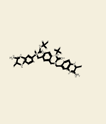 CC1Oc2ccc(CN(Cc3cccc(C[N+](C)(C(=O)OC(C)(C)C)c4ccc5c(c4)N=C(N)C(C)O5)c3)C(=O)OC(C)(C)C)cc2N=C1N